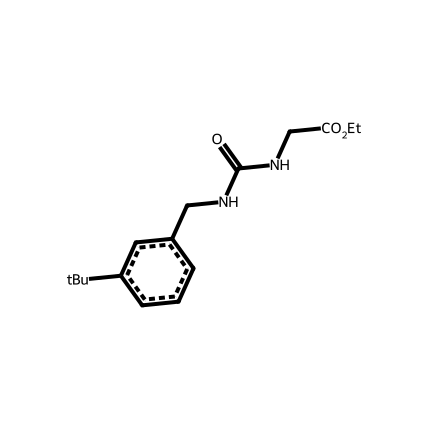 CCOC(=O)CNC(=O)NCc1cccc(C(C)(C)C)c1